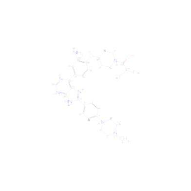 CN1CCN(c2ccc(-c3nc4c(-c5ccc(OC6CCN(C(=O)C(F)F)CC6)c(N)c5)ncnc4[nH]3)cc2)CC1